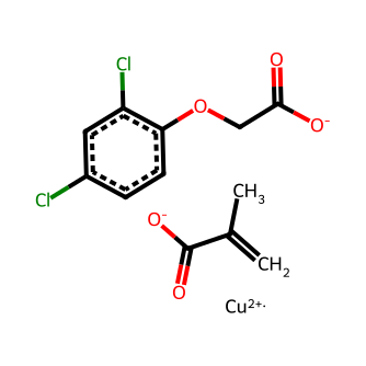 C=C(C)C(=O)[O-].O=C([O-])COc1ccc(Cl)cc1Cl.[Cu+2]